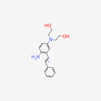 Nc1ccc(N(CCO)CCO)cc1/C=C/c1ccccc1